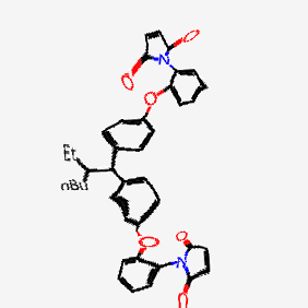 CCCCC(CC)C(c1ccc(Oc2ccccc2N2C(=O)C=CC2=O)cc1)c1ccc(Oc2ccccc2N2C(=O)C=CC2=O)cc1